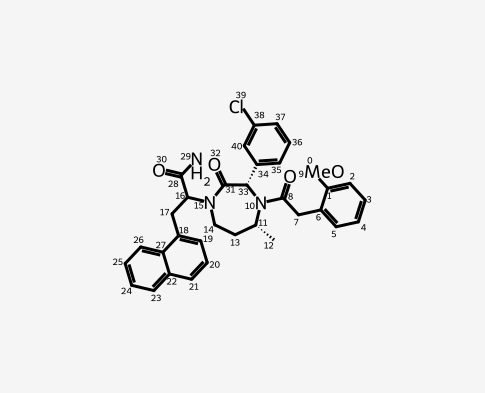 COc1ccccc1CC(=O)N1[C@H](C)CCN(C(Cc2cccc3ccccc23)C(N)=O)C(=O)[C@@H]1c1cccc(Cl)c1